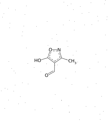 Cc1noc(O)c1C=O